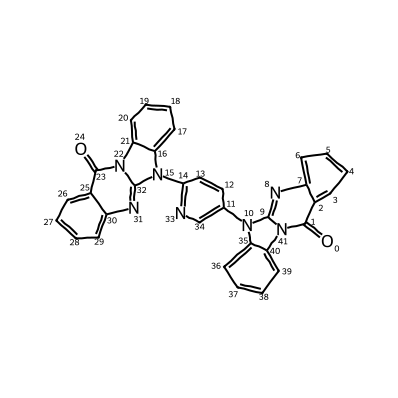 O=c1c2ccccc2nc2n(-c3ccc(-n4c5ccccc5n5c(=O)c6ccccc6nc45)nc3)c3ccccc3n12